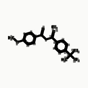 C.COc1ccc(C(=O)CC(=O)c2ccc(C(C)(C)C)cc2)cc1